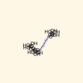 CC(/C=C/C=C(\C)C(=O)O[C@@H]1O[C@H](O)[C@@H](O)[C@H](O)[C@H]1O)=C\C=C\C=C(C)\C=C\C=C(/C)C(=O)O[C@@H]1O[C@H](COC2O[C@H](CO)[C@@H](O)[C@H](O)[C@H]2O)[C@@H](O)[C@H](O)[C@H]1O